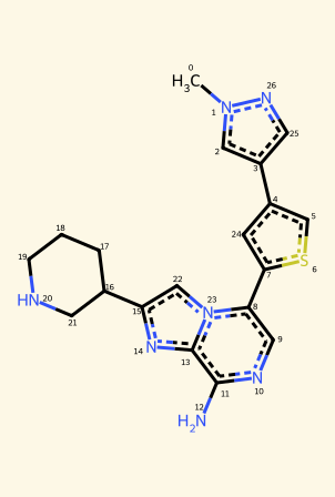 Cn1cc(-c2csc(-c3cnc(N)c4nc(C5CCCNC5)cn34)c2)cn1